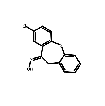 ON=C1Cc2ccccc2Sc2ccc(Cl)cc21